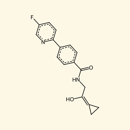 O=C(NCC(O)=C1CC1)c1ccc(-c2ccc(F)cn2)cc1